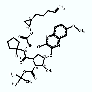 C=CCCC[C@@H]1C[C@H]1OC(=O)N[C@H](C(=O)N1C[C@H](Oc2nc3cc(OC)ccc3nc2Cl)[C@@H](C)[C@H]1C(=O)OC(C)(C)C)C1(C)CCCC1